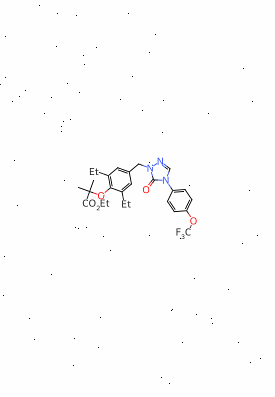 CCOC(=O)C(C)(C)Oc1c(CC)cc(Cn2ncn(-c3ccc(OC(F)(F)F)cc3)c2=O)cc1CC